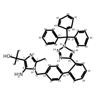 Cc1nc(C(C)(C)O)c(N)n1Cc1ccc(-c2ccccc2-c2nnn(C(c3ccccc3)(c3ccccc3)c3ccccc3)n2)cc1